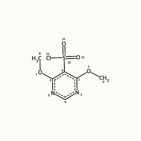 COc1ncnc(OC)c1S(=O)(=O)Cl